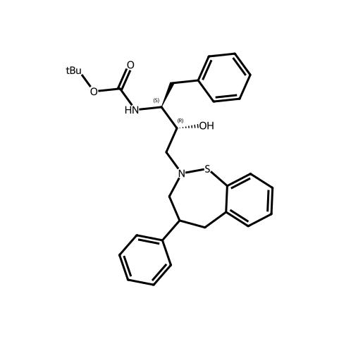 CC(C)(C)OC(=O)N[C@@H](Cc1ccccc1)[C@H](O)CN1CC(c2ccccc2)Cc2ccccc2S1